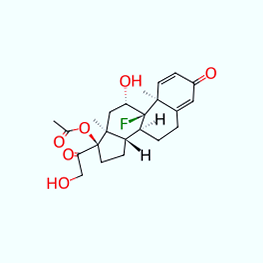 CC(=O)O[C@]1(C(=O)CO)CC[C@H]2[C@@H]3CCC4=CC(=O)C=C[C@]4(C)[C@@]3(F)[C@@H](O)C[C@@]21C